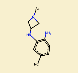 CC(=O)N1CC(Nc2cc(C#N)ccc2N)C1